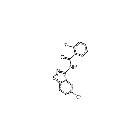 O=C(Nc1nsc2ccc(Cl)cc12)c1ccccc1F